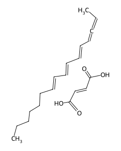 CC=C=CC=CC=CC=CCCCCCC.O=C(O)/C=C/C(=O)O